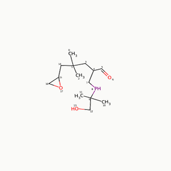 CC(C)(CC(C=O)CPC(C)(C)CO)CC1CO1